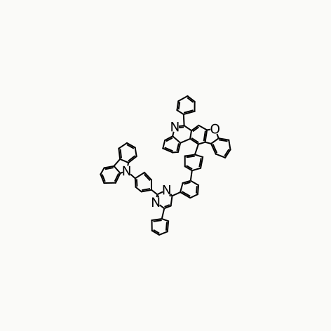 c1ccc(-c2cc(-c3cccc(-c4ccc(-c5c6c(cc7c(-c8ccccc8)nc8ccccc8c57)oc5ccccc56)cc4)c3)nc(-c3ccc(-n4c5ccccc5c5ccccc54)cc3)n2)cc1